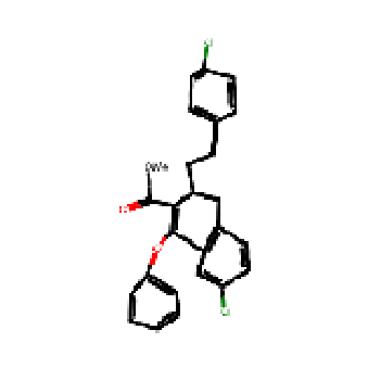 COC(=O)C1=C(Oc2ccccc2)c2cc(Cl)ccc2CC1CCc1ccc(Cl)cc1